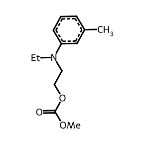 CCN(CCOC(=O)OC)c1cccc(C)c1